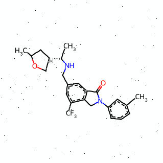 Cc1cccc(N2Cc3c(cc(CNC(C)[C@@H]4COC(C)C4)cc3C(F)(F)F)C2=O)c1